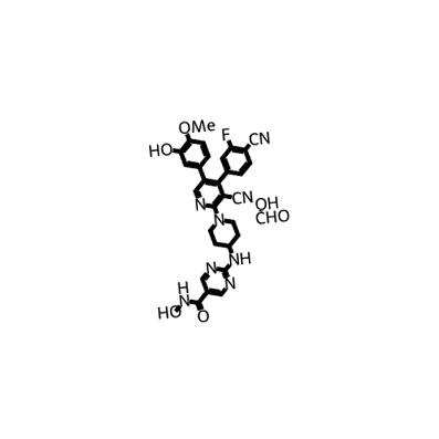 COc1ccc(-c2cnc(N3CCC(Nc4ncc(C(=O)NO)cn4)CC3)c(C#N)c2-c2ccc(C#N)c(F)c2)cc1O.O=CO